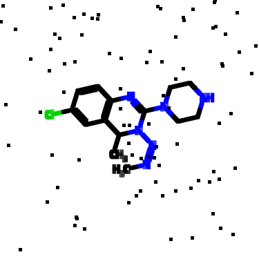 C/N=N\N1C(N2CCNCC2)=Nc2ccc(Cl)cc2C1C